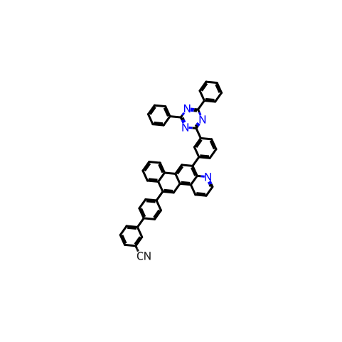 N#Cc1cccc(-c2ccc(-c3cc4c5cccnc5c(-c5cccc(-c6nc(-c7ccccc7)nc(-c7ccccc7)n6)c5)cc4c4ccccc34)cc2)c1